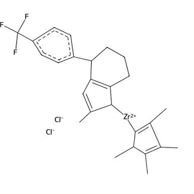 CC1=CC2=C(CCCC2c2ccc(C(F)(F)F)cc2)[CH]1[Zr+2][C]1=C(C)C(C)=C(C)C1C.[Cl-].[Cl-]